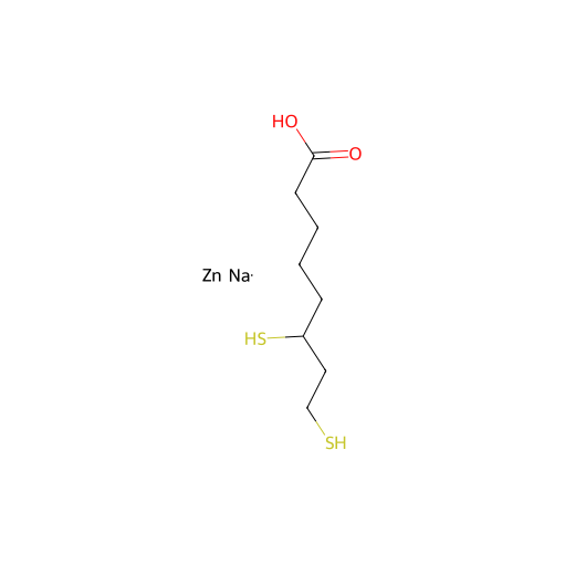 O=C(O)CCCCC(S)CCS.[Na].[Zn]